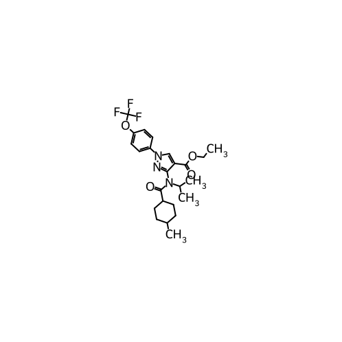 CCOC(=O)c1cn(-c2ccc(OC(F)(F)F)cc2)nc1N(C(=O)C1CCC(C)CC1)C(C)C